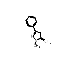 C=C1CC(c2ccccc2)=NN1C